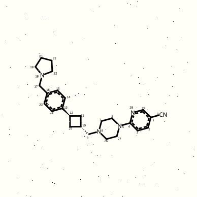 N#Cc1ccc(N2CCN(C[C@H]3C[C@H](c4ccc(CN5CCCC5)cc4)C3)CC2)nc1